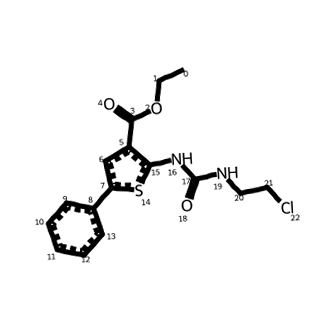 CCOC(=O)c1cc(-c2ccccc2)sc1NC(=O)NCCCl